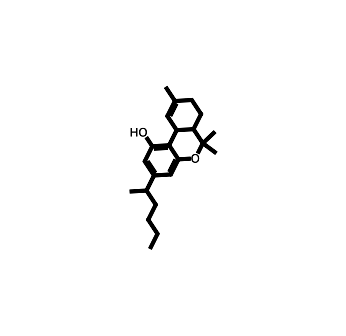 CCCCC(C)c1cc(O)c2c(c1)OC(C)(C)C1CCC(C)=CC21